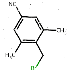 Cc1cc(C#N)cc(C)c1CBr